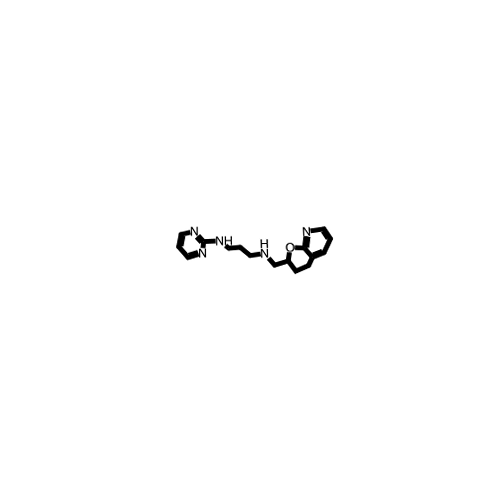 c1cnc(NCCCNCC2CCc3cccnc3O2)nc1